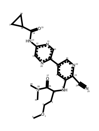 COCCC(Nc1cc(-c2cnc(NC(=O)C3CC3)cn2)cnc1C#N)C(=O)N(C)C